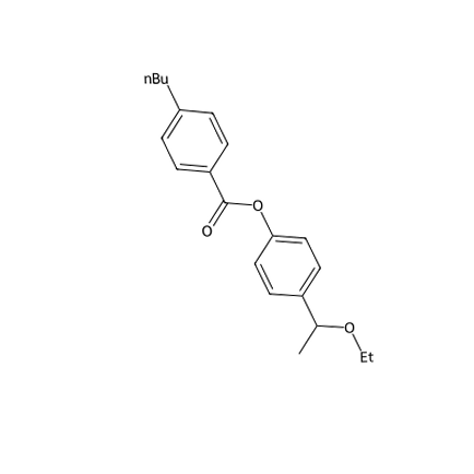 CCCCc1ccc(C(=O)Oc2ccc(C(C)OCC)cc2)cc1